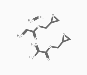 C=C.C=C(C)C(=O)OCC1CO1.C=CC(=O)OCC1CO1